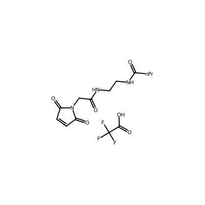 CCCC(=O)NCCNC(=O)CN1C(=O)C=CC1=O.O=C(O)C(F)(F)F